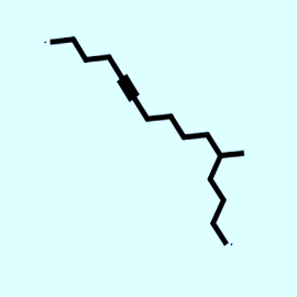 [CH2]CCCC#CCCCCC(C)CCC[CH2]